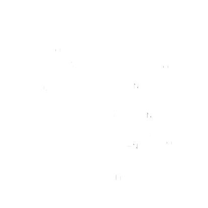 Cc1cc(F)c(N2C(=O)CN(C(=O)NCC(C)C)C2=O)cc1[S+]([O-])CC(F)(F)F